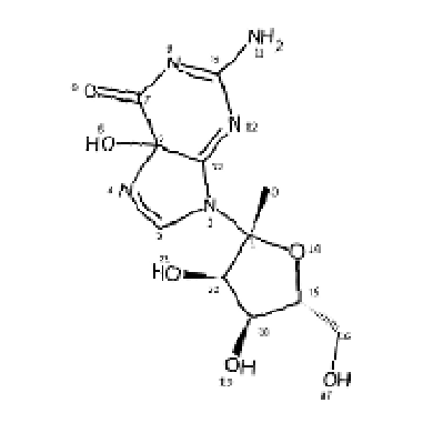 C[C@@]1(N2C=NC3(O)C(=O)N=C(N)N=C23)O[C@H](CO)[C@@H](O)[C@H]1O